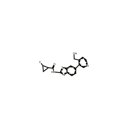 O=C(Nc1nc2ccc(-c3cnccc3CO)cc2s1)C1CC1F